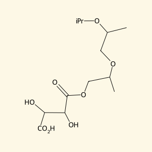 CC(C)OC(C)COC(C)COC(=O)C(O)C(O)C(=O)O